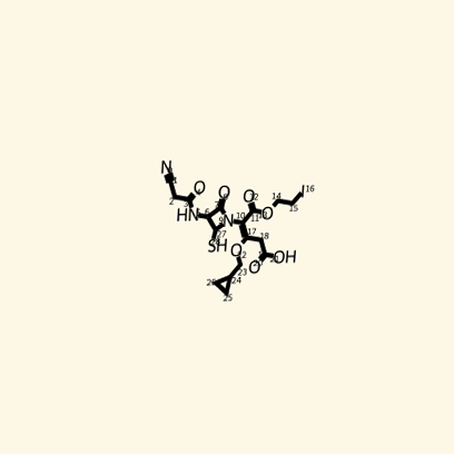 N#CCC(=O)NC1C(=O)N(/C(C(=O)OCCI)=C(/CC(=O)O)OCC2CC2)C1S